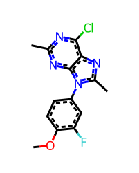 COc1ccc(-n2c(C)nc3c(Cl)nc(C)nc32)cc1F